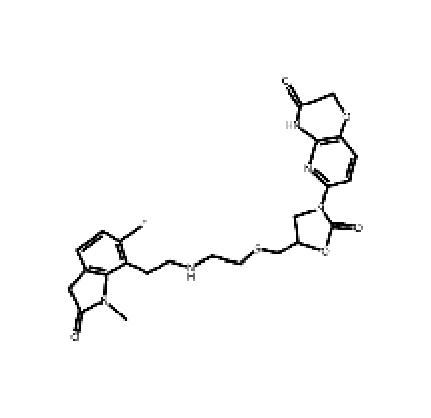 CN1C(=O)Cc2ccc(F)c(CCNCCSCC3CN(c4ccc5c(n4)NC(=O)CO5)C(=O)O3)c21